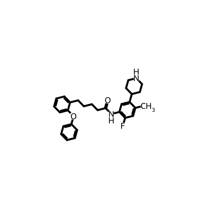 Cc1cc(F)c(NC(=O)CCCCc2ccccc2Oc2ccccc2)cc1C1CCNCC1